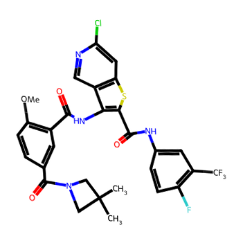 COc1ccc(C(=O)N2CC(C)(C)C2)cc1C(=O)Nc1c(C(=O)Nc2ccc(F)c(C(F)(F)F)c2)sc2cc(Cl)ncc12